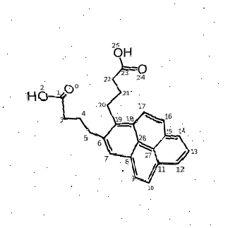 O=C(O)CCCc1cc2ccc3cccc4ccc(c1CCCC(=O)O)c2c34